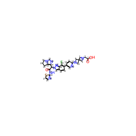 O=C(O)CN1CC2(C1)CN(c1ccc(-c3ccc4cn(C(C(=O)Nc5nccs5)c5ncn6c5CCC6)nc4c3F)cn1)C2